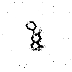 O=c1[nH]ncc2cn(C3CCOCC3)c(=O)cc12